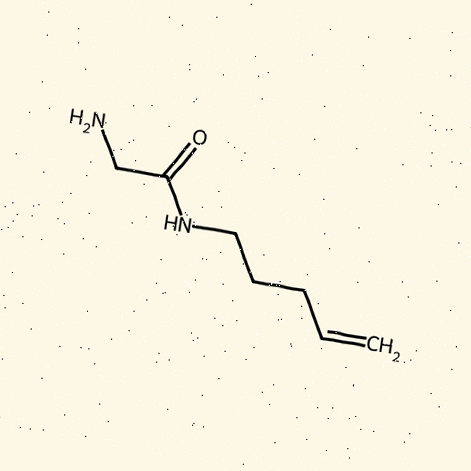 C=CCCCNC(=O)CN